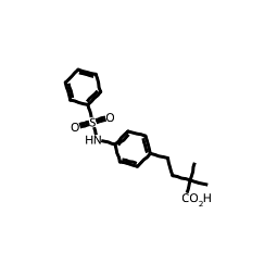 CC(C)(CCc1ccc(NS(=O)(=O)c2ccccc2)cc1)C(=O)O